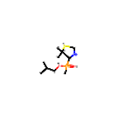 CC(C)COP(C)(=O)C1NCSC1(C)C